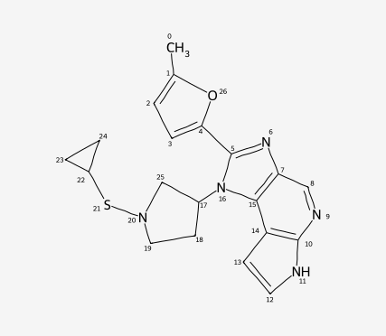 Cc1ccc(-c2nc3cnc4[nH]ccc4c3n2C2CCN(SC3CC3)C2)o1